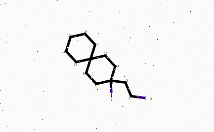 ICCC1(I)CCC2(CCCCC2)CC1